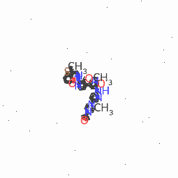 Cc1sc2c(c1/C=N\N(C=O)c1nccc(-c3cc(Nc4ccc(N5CCN(C6COC6)CC5C)cn4)c(=O)n(C)c3)c1C=O)CCCC2